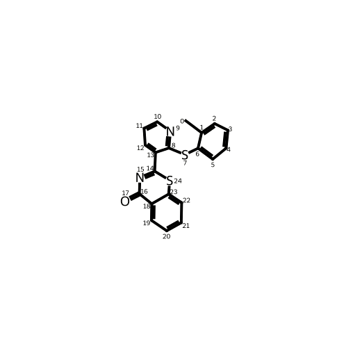 Cc1ccccc1Sc1ncccc1-c1nc(=O)c2ccccc2s1